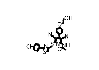 CC(=O)Nc1nc(SCc2csc(-c3ccc(Cl)cc3)n2)c(C#N)c(-c2ccc(OCCO)cc2)c1C#N